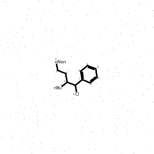 CCCCCCCCCCCC(CCCC)C(Cl)c1ccccc1